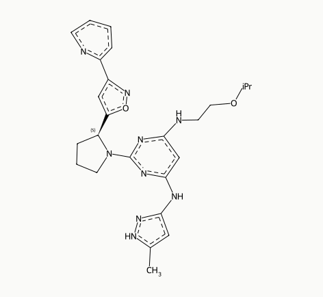 Cc1cc(Nc2cc(NCCOC(C)C)nc(N3CCC[C@H]3c3cc(-c4ccccn4)no3)n2)n[nH]1